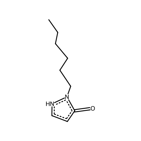 CCCCCCn1[nH]ccc1=O